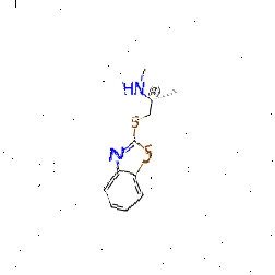 CN[C@H](C)CSc1nc2ccccc2s1